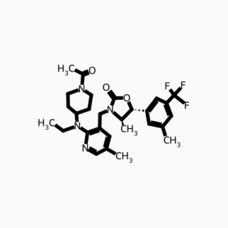 CCN(c1ncc(C)cc1CN1C(=O)O[C@H](c2cc(C)cc(C(F)(F)F)c2)[C@@H]1C)C1CCN(C(C)=O)CC1